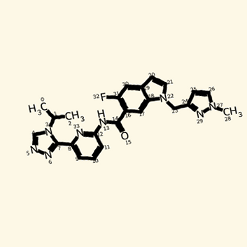 CC(C)n1cnnc1-c1cccc(NC(=O)c2cc3c(ccn3Cc3ccn(C)n3)cc2F)n1